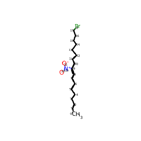 CCCCCCCCC=C(CCCCCCCCBr)[N+](=O)[O-]